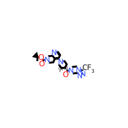 C[C@@H]1CN(c2ccnc3c2CCN(C(=O)OC2(C)CC2)C3)CC[C@@H]1C(=O)N1CCn2c(nnc2C(F)(F)F)C1